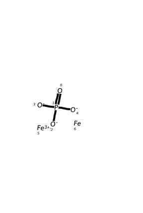 O=P([O-])([O-])[O-].[Fe+3].[Fe]